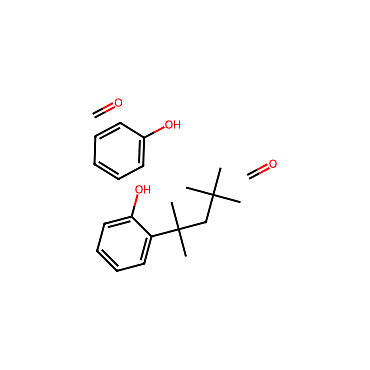 C=O.C=O.CC(C)(C)CC(C)(C)c1ccccc1O.Oc1ccccc1